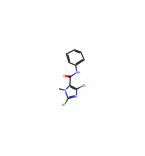 Cn1c(Br)nc(Br)c1C(=O)Nc1ccccc1